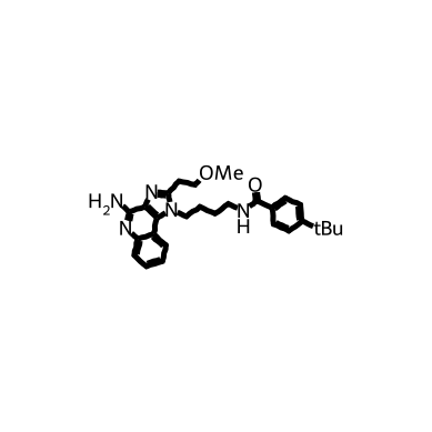 COCCc1nc2c(N)nc3ccccc3c2n1CCCCNC(=O)c1ccc(C(C)(C)C)cc1